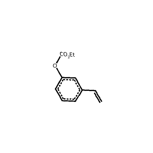 C=Cc1cccc(OC(=O)OCC)c1